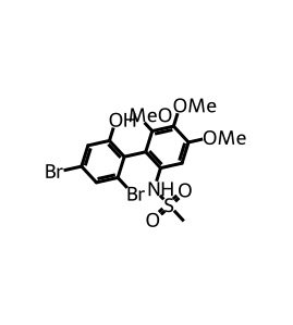 COc1cc(NS(C)(=O)=O)c(-c2c(O)cc(Br)cc2Br)c(OC)c1OC